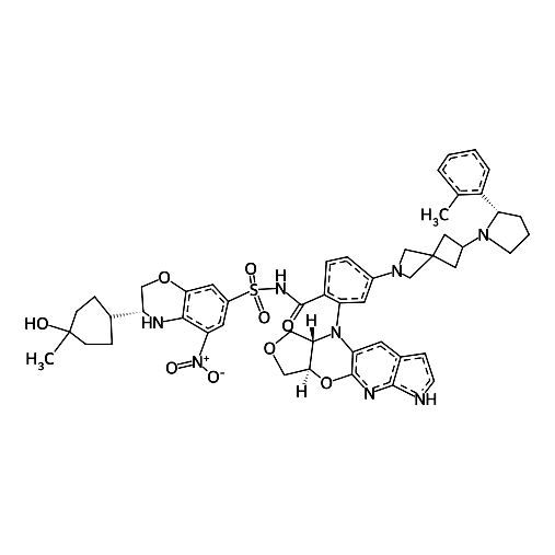 Cc1ccccc1[C@@H]1CCCN1C1CC2(C1)CN(c1ccc(C(=O)NS(=O)(=O)c3cc4c(c([N+](=O)[O-])c3)N[C@H](C3CCC(C)(O)CC3)CO4)c(N3c4cc5cc[nH]c5nc4O[C@H]4COC[C@@H]43)c1)C2